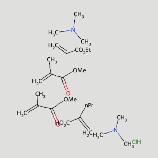 C=C(C)C(=O)OC.C=C(C)C(=O)OC.C=C(CCC)C(=O)O.C=CC(=O)OCC.CN(C)C.CN(C)C.Cl